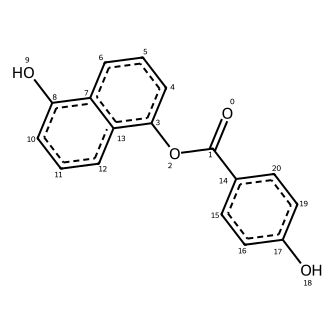 O=C(Oc1cccc2c(O)cccc12)c1ccc(O)cc1